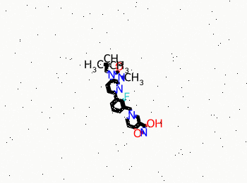 Cn1c(=O)n(CC(C)(C)C)c2ccc(-c3cccc(CN4CCc5onc(O)c5C4)c3F)nc21